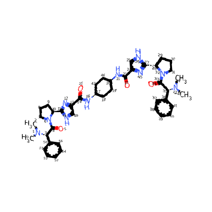 CN(C)[C@H](C(=O)N1CCC[C@H]1c1nc(C(=O)N[C@H]2CC[C@H](NC(=O)c3c[nH]c([C@@H]4CCCN4C(=O)[C@@H](c4ccccc4)N(C)C)n3)CC2)c[nH]1)c1ccccc1